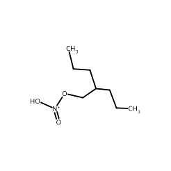 CCCC(CCC)CO[N+](=O)O